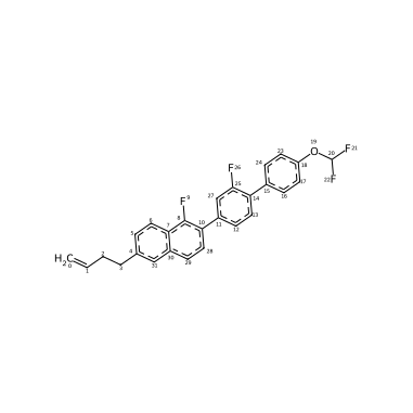 C=CCCc1ccc2c(F)c(-c3ccc(-c4ccc(OC(F)F)cc4)c(F)c3)ccc2c1